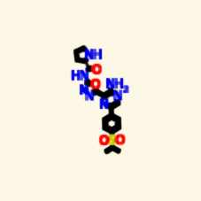 CC(C)S(=O)(=O)c1ccc(-c2cnc(N)c(-c3nnc(NC(=O)[C@@H]4CCCN4)o3)n2)cc1